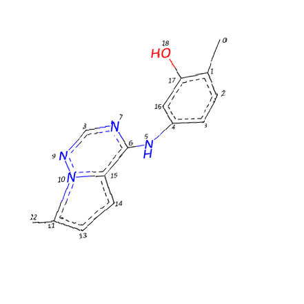 Cc1ccc(Nc2ncnn3c(C)ccc23)cc1O